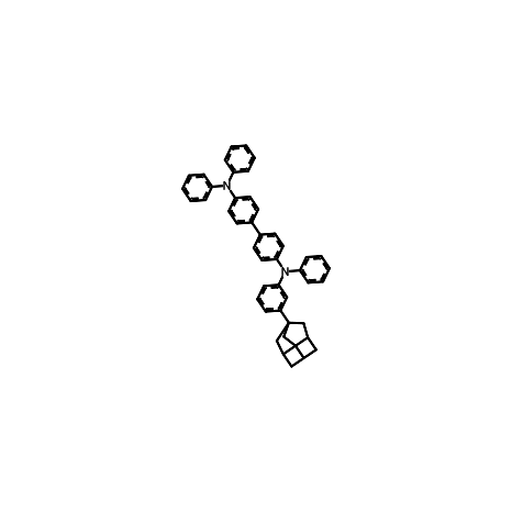 c1ccc(N(c2ccccc2)c2ccc(-c3ccc(N(c4ccccc4)c4cccc(C56CC7CC8CC(C5)C87C6)c4)cc3)cc2)cc1